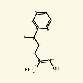 CCOC(=O)C(CCC(C)c1ccccc1)=NO